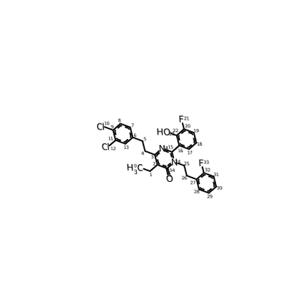 CCc1c(CCc2ccc(Cl)c(Cl)c2)nc(-c2cccc(F)c2O)n(CCc2ccccc2F)c1=O